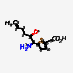 C=CCCC(=O)C(N)c1ccc(C(=O)O)s1